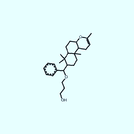 CC1=CCC2C(CCC3C(C)(C)C(C(OCCCO)c4ccccc4)CCC23C)O1